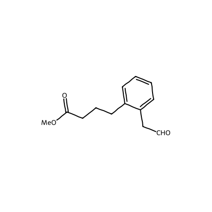 COC(=O)CCCc1ccccc1CC=O